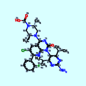 CC(C)c1nc(N)nc(C(C)C)c1-n1c(=O)nc(N2C[C@@H](C)N(C(=O)O)C[C@@H]2C)c2cc(Cl)c(-c3ccccc3F)nc21